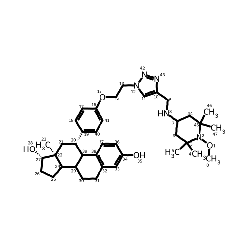 CON1C(C)(C)CC(NCc2cn(CCOc3ccc([C@H]4C[C@@]5(C)C(CC[C@@H]5O)C5CCc6cc(O)ccc6C54)cc3)nn2)CC1(C)C